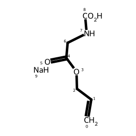 C=CCOC(=O)CNC(=O)O.[NaH]